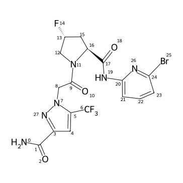 NC(=O)c1cc(C(F)(F)F)n(CC(=O)N2C[C@H](F)C[C@H]2C(=O)Nc2cccc(Br)n2)n1